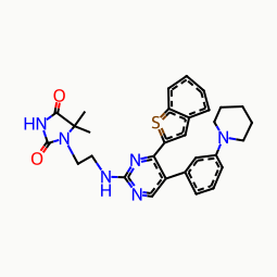 CC1(C)C(=O)NC(=O)N1CCNc1ncc(-c2cccc(N3CCCCC3)c2)c(-c2cc3ccccc3s2)n1